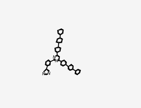 c1ccc(-c2ccc(-c3ccc(-c4cc(-c5ccc(-c6ccc(-c7ccccc7)cc6)cc5)nc(-c5cccc(-c6cncnc6)c5)n4)cc3)cc2)cc1